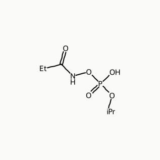 CCC(=O)NOP(=O)(O)OC(C)C